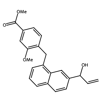 C=CC(O)c1ccc2cccc(Cc3ccc(C(=O)OC)cc3OC)c2c1